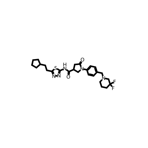 O=C(Nc1nnc(CCC2CCCC2)s1)C1CC(=O)N(c2ccc(CN3CCCC(F)(F)C3)cc2)C1